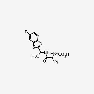 CC(C)[C@H](NC(=O)O)C(=O)N[C@H](C)c1nc2ccc(F)cc2s1